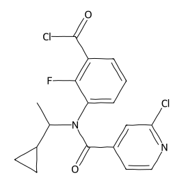 CC(C1CC1)N(C(=O)c1ccnc(Cl)c1)c1cccc(C(=O)Cl)c1F